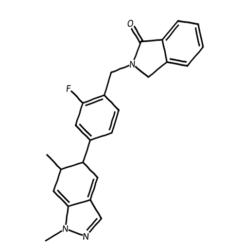 CC1C=c2c(cnn2C)=CC1c1ccc(CN2Cc3ccccc3C2=O)c(F)c1